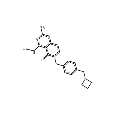 CCCCNc1nc(N)nc2ccn(Cc3ccc(CN4CCC4)cc3)c(=O)c12